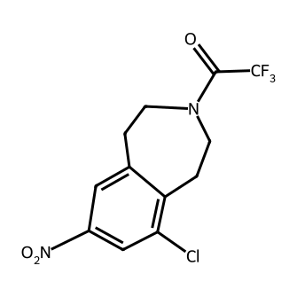 O=C(N1CCc2cc([N+](=O)[O-])cc(Cl)c2CC1)C(F)(F)F